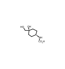 O=C(O)N[C@H]1CC[C@](O)(CO)CC1